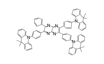 CC1(C)c2ccccc2N(c2ccc(-c3nc4nc(-c5ccc(N6c7ccccc7C(C)(C)c7ccccc76)cc5)c(-c5ccc(N6c7ccccc7C(C)(C)c7ccccc76)cc5)nc4nc3-c3ccccc3)cc2)c2ccccc21